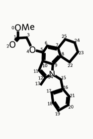 COC(=O)COc1cc2c(c3c1cc(C)n3Cc1ccccc1)CCCC2